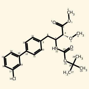 COC(=O)[C@H](OC)C(Cc1ccc(-c2cccc(Cl)c2)cc1)NC(=O)OC(C)(C)C